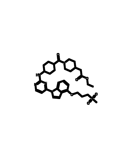 CCOC(=O)CC1CCN(C(=O)C2CCC(Nc3nccc(-n4ccc5c(OCCCS(C)(=O)=O)cccc54)n3)CC2)CC1